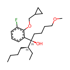 CCCC[C@H](CC)[C@@](O)(CCCCOC)c1cccc(F)c1OCC1CC1